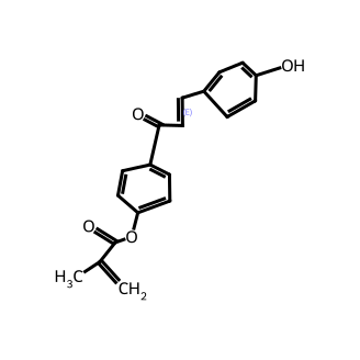 C=C(C)C(=O)Oc1ccc(C(=O)/C=C/c2ccc(O)cc2)cc1